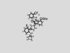 COc1cccc2c1n(Cc1ccccc1C(F)(F)F)c(=O)n2C1CCN(c2c(F)cccc2CN2CCCC2)C1